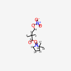 CC(C)(CCO[N+](=O)[O-])C(=O)ON1CCCC1(C)C